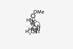 CC[C@@H]1C2[C@H]3C[C@@H](CN2CCC2C4c5cc(OC)ccc5N[C@@H]4C23)[C@@H]1C